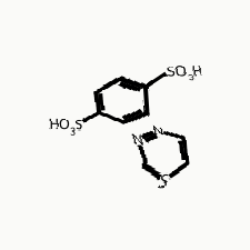 C1=CSCN=N1.O=S(=O)(O)c1ccc(S(=O)(=O)O)cc1